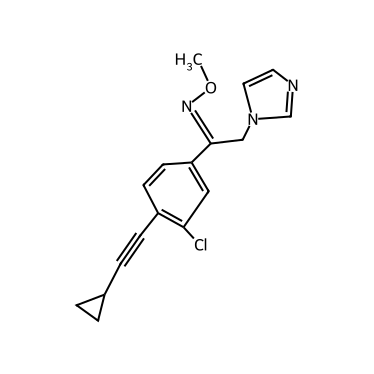 CON=C(Cn1ccnc1)c1ccc(C#CC2CC2)c(Cl)c1